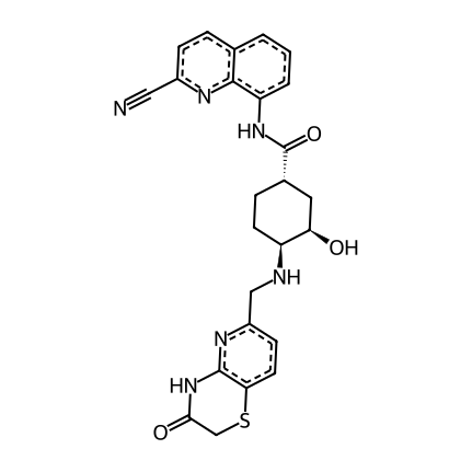 N#Cc1ccc2cccc(NC(=O)[C@H]3CC[C@H](NCc4ccc5c(n4)NC(=O)CS5)[C@H](O)C3)c2n1